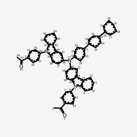 CC(=O)c1ccc(-n2c3ccccc3c3cc(N(c4ccc(-c5ccc(-c6ccccc6)cc5)cc4)c4ccc5c(c4)c4ccccc4n5-c4ccc(C(C)=O)cc4)ccc32)cc1